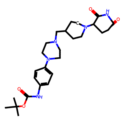 CC(C)(C)OC(=O)Nc1ccc(N2CCN(CC3CCN(C4CCC(=O)NC4=O)CC3)CC2)cc1